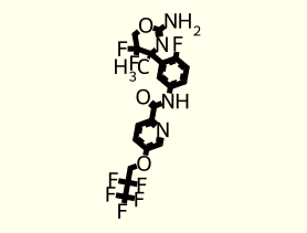 C[C@]1(c2cc(NC(=O)c3ccc(OCC(F)(F)C(F)(F)F)cn3)ccc2F)N=C(N)OCC1(F)F